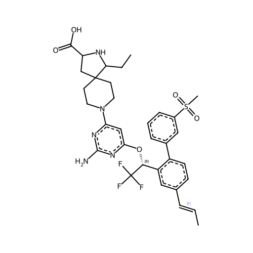 C/C=C/c1ccc(-c2cccc(S(C)(=O)=O)c2)c([C@@H](Oc2cc(N3CCC4(CC3)CC(C(=O)O)NC4CC)nc(N)n2)C(F)(F)F)c1